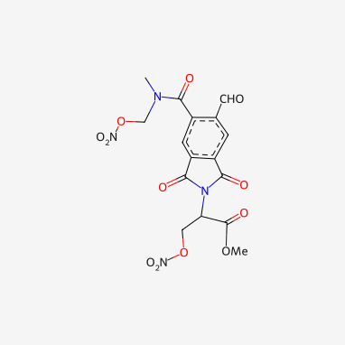 COC(=O)C(CO[N+](=O)[O-])N1C(=O)c2cc(C=O)c(C(=O)N(C)CO[N+](=O)[O-])cc2C1=O